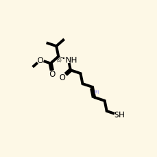 COC(=O)[C@@H](NC(=O)CC/C=C/CCS)C(C)C